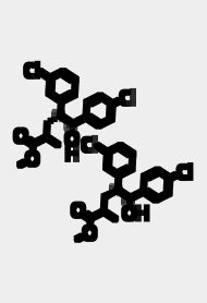 COC(=O)C(C)C[C@@H](c1cccc(Cl)c1)[C@H](O)c1ccc(Cl)cc1.COC(=O)C(C)C[C@H](c1cccc(Cl)c1)[C@@H](O)c1ccc(Cl)cc1